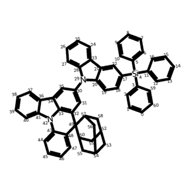 c1ccc([Si](c2ccccc2)(c2ccccc2)c2ccc3c(c2)c2ccccc2n3-c2cc3c4c(c2)c2ccccc2n4-c2ccccc2C32C3CC4CC(C3)CC2C4)cc1